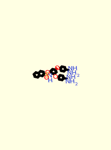 N=C(N)c1ccc(Oc2ccc(NS(=O)(=O)c3ccc4ccccc4c3)c(Oc3ccc(C(=N)N)cc3)c2)cc1